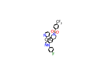 O=Cc1ncccc1[C@@]12Cc3cnn(-c4ccc(F)cc4)c3C=C1CCN(S(=O)(=O)c1ccc(C(F)(F)F)cc1)C2